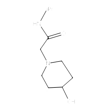 CC1CCN(CC(=O)NC(C)C)CC1